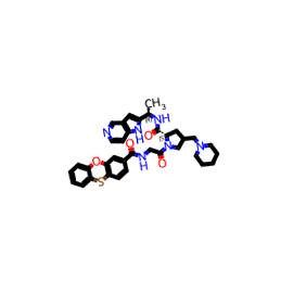 C[C@@H](NC(=O)[C@@H]1CC(CN2CCCCC2)CN1C(=O)CNC(=O)c1ccc2c(c1)Oc1ccccc1S2)c1cc2cnccc2[nH]1